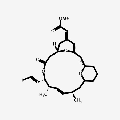 COC(=O)/C=C1\C[C@H]2CC(=O)O[C@@H](/C=C/I)[C@@H](C)/C=C/[C@H](C)CC3CCC[C@@H](C[C@@H](C1)O2)O3